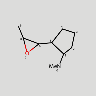 CNC1CCCC1C1OC1C